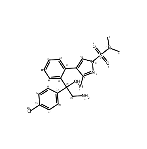 CCc1nn(S(=O)(=O)N(C)C)cc1-c1ccccc1C(O)(CN)c1ccc(Cl)cc1